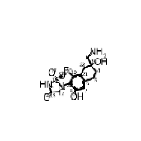 NCC1(O)CCc2cc(O)c(N3CC(=O)NS3(=O)=O)c(F)c2C1